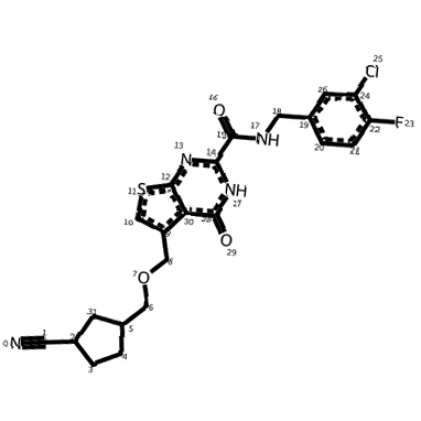 N#CC1CCC(COCc2csc3nc(C(=O)NCc4ccc(F)c(Cl)c4)[nH]c(=O)c23)C1